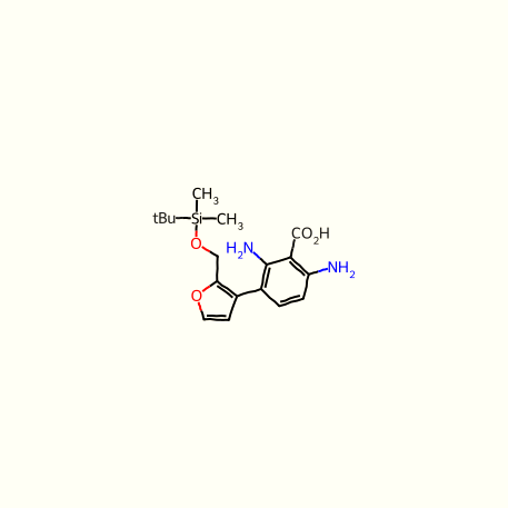 CC(C)(C)[Si](C)(C)OCc1occc1-c1ccc(N)c(C(=O)O)c1N